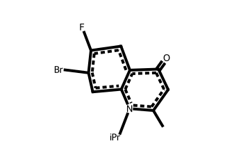 Cc1cc(=O)c2cc(F)c(Br)cc2n1C(C)C